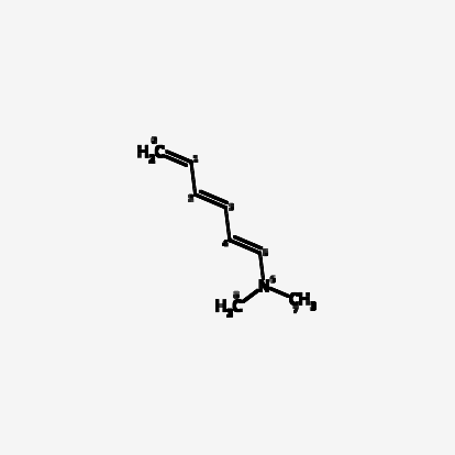 C=CC=CC=CN(C)C